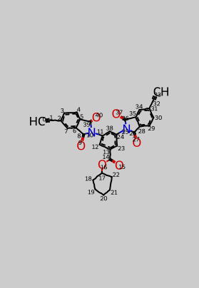 C#Cc1ccc2c(c1)C(=O)N(c1cc(C(=O)OC3CCCCC3)cc(N3C(=O)c4ccc(C#C)cc4C3=O)c1)C2=O